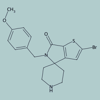 COc1ccc(CN2C(=O)c3sc(Br)cc3C23CCNCC3)cc1